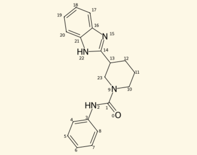 O=C(Nc1ccccc1)N1CCCC(c2nc3ccccc3[nH]2)C1